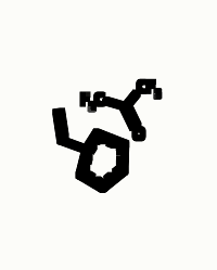 C=Cc1ccccc1.O=C(C(F)(F)F)C(F)(F)F